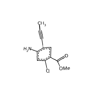 CC#Cc1cc(C(=O)OC)c(Cl)cc1N